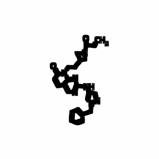 C=CC(=O)N1CC(CCn2c(=O)ccc3cnc(Nc4cnn(Cc5ccccc5)c4)nc32)C1